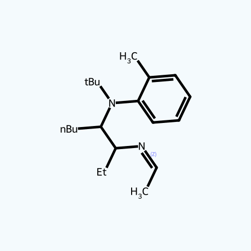 C/C=N\C(CC)C(CCCC)N(c1ccccc1C)C(C)(C)C